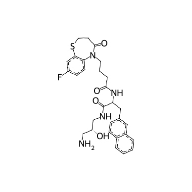 NC[C@@H](O)CNC(=O)C(Cc1ccc2ccccc2c1)NC(=O)CCCN1C(=O)CCSc2cc(F)ccc21